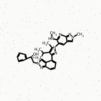 CNc1nc2nn(C)cc2cc1-n1nc(-c2cccc3nn(C[C@H](O)c4ccccc4)cc23)c(C(C)C)c1C